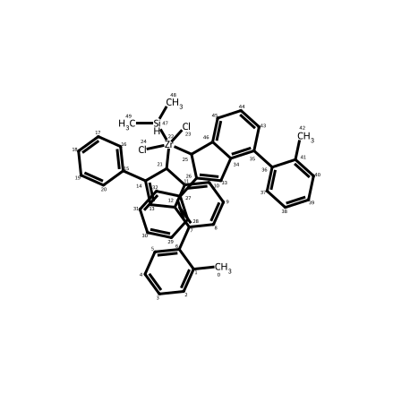 Cc1ccccc1-c1cccc2c1C=C(c1ccccc1)[CH]2[Zr]([Cl])([Cl])([CH]1C(c2ccccc2)=Cc2c(-c3ccccc3C)cccc21)[SiH](C)C